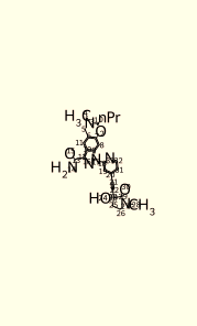 CCCC(=O)N(C)Cc1ccc2c(c1)c(C(N)=O)nn2-c1cc(C#C[C@]2(O)CCN(C)C2=O)ccn1